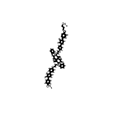 CCCCOc1ccc(-c2ccc(-c3ccc(OCCOCc4csc(C5Sc6ccccc6S5)c4-c4c(COCCOc5ccc(-c6ccc(-c7ccc(C)cc7)c(F)c6F)cc5)csc4C4Sc5ccccc5S4)cc3)c(F)c2F)cc1